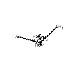 CCCCCCCCCCCCCCCCCCC(CCCCCCCCCCCCCCCCCC)(C(=O)O)C(C)SC(C)CC(=O)O